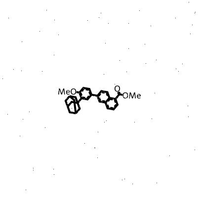 COC(=O)c1cccc2cc(-c3ccc(OC)c(C45CC6CC(CC(C6)C4)C5)c3)ccc12